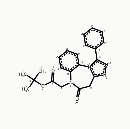 CC(C)(C)OC(=O)CN1C(=O)Cc2nnc(-c3ccccc3)n2-c2ccccc21